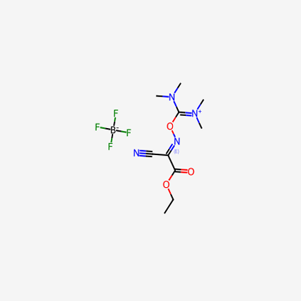 CCOC(=O)/C(C#N)=N/OC(N(C)C)=[N+](C)C.F[B-](F)(F)F